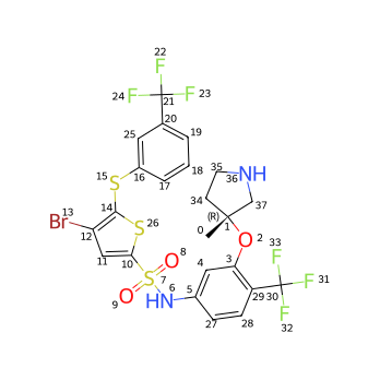 C[C@@]1(Oc2cc(NS(=O)(=O)c3cc(Br)c(Sc4cccc(C(F)(F)F)c4)s3)ccc2C(F)(F)F)CCNC1